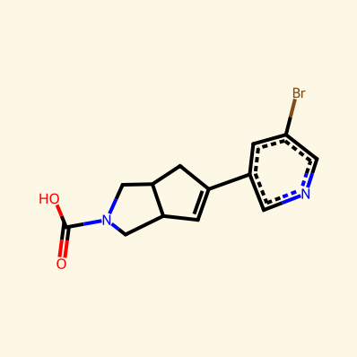 O=C(O)N1CC2C=C(c3cncc(Br)c3)CC2C1